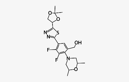 CC1CN(c2c(CO)cc(-c3nnc(C4COC(C)(C)O4)s3)c(F)c2F)CC(C)O1